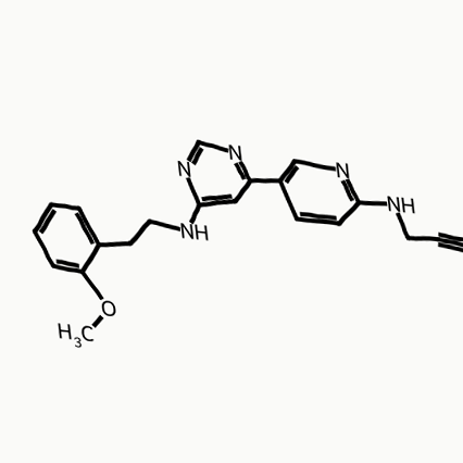 COc1ccccc1CCNc1cc(-c2ccc(NCC#N)nc2)ncn1